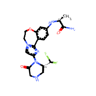 C[C@H](Nc1ccc2c(c1)OCCn1cc(N3C(=O)CNC[C@H]3C(F)F)nc1-2)C(N)=O